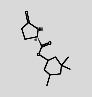 CC1CC(OC(=O)[C@@H]2CCC(=O)N2)CC(C)(C)C1